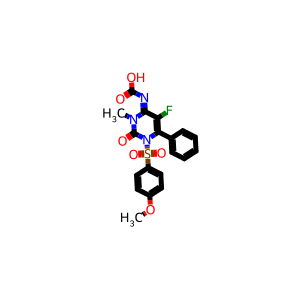 COc1ccc(S(=O)(=O)n2c(-c3ccccc3)c(F)c(=NC(=O)O)n(C)c2=O)cc1